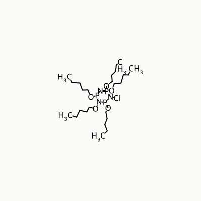 CCCCCON1P(OCCCCC)N=P(OCCCCC)(OCCCCC)N(Cl)P1OCCCCC